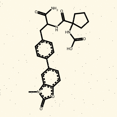 Cn1c(=O)oc2ccc(-c3ccc(CC(NC(=O)C4(NC(=O)O)CCCC4)C(N)=O)cc3)cc21